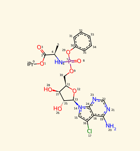 CC(C)OC(=O)[C@@H](C)NP(=O)(OC[C@H]1O[C@@H](n2cc(Cl)c3c(N)ncnc32)[C@H](O)[C@H]1O)Oc1ccccc1